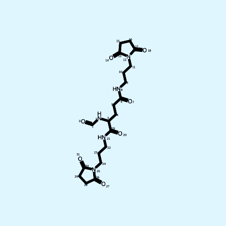 O=CNC(CCC(=O)NCCCN1C(=O)CCC1=O)C(=O)NCCCN1C(=O)CCC1=O